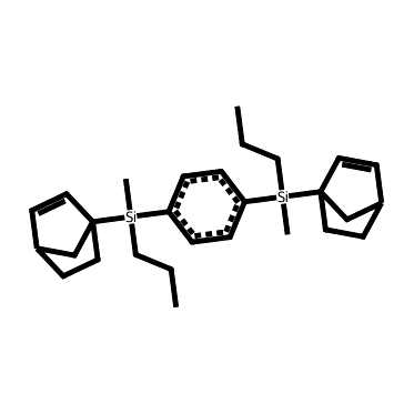 CCC[Si](C)(c1ccc([Si](C)(CCC)C23C=CC(CC2)C3)cc1)C12C=CC(CC1)C2